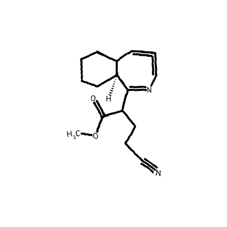 COC(=O)C(CCC#N)C1=NC=C=CC2CCCC[C@H]12